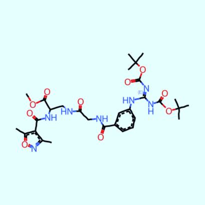 COC(=O)C(CNC(=O)CNC(=O)c1cccc(N/C(=N\C(=O)OC(C)(C)C)NC(=O)OC(C)(C)C)c1)NC(=O)c1c(C)noc1C